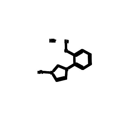 Br.CCCN1C=CN(c2ccccc2OCC)C1